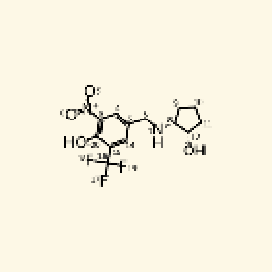 O=[N+]([O-])c1cc(CN[C@@H]2CCC[C@@H]2O)cc(C(F)(F)F)c1O